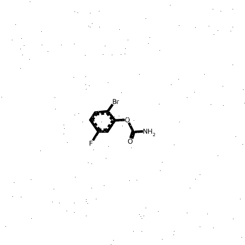 NC(=O)Oc1cc(F)ccc1Br